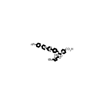 CCC[C@H]1CC[C@H](C2CCN(c3cnc(-c4ccc(C[C@H](NC(=O)c5ccc(C(C)(C)C)s5)C(=O)N5CCC(C(=O)O)CC5)cc4)nc3)CC2)CC1